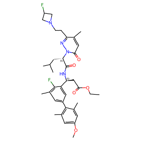 CCOC(=O)C[C@H](NC(=O)[C@H](CC(C)C)n1nc(CCN2CC(F)C2)c(C)cc1=O)c1cc(-c2c(C)cc(OC)cc2C)cc(C)c1F